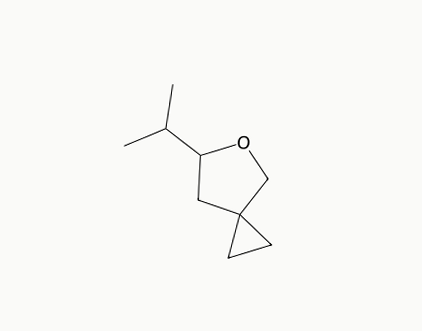 CC(C)C1CC2(CC2)CO1